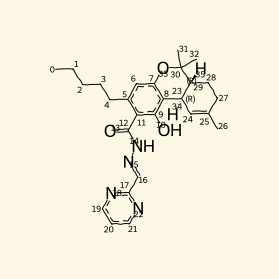 CCCCCc1cc2c(c(O)c1C(=O)NN=Cc1ncccn1)[C@@H]1C=C(C)CC[C@H]1C(C)(C)O2